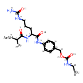 CC(=O)NC(C(=O)NC(CCCNC(N)=O)C(=O)Nc1ccc(COC(=O)NCC(C)(C)C)cc1)C(C)C